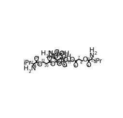 CC(C)[C@H](N)C(=O)OCCC(=O)OCOP(=O)(OCOC(=O)CCOC(=O)[C@@H](N)C(C)C)C(O)(CCCN)P(=O)(O)O